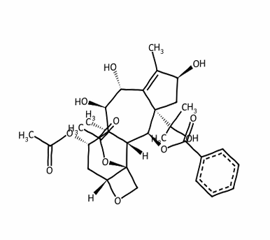 CC(=O)O[C@H]1C[C@H]2OC[C@@]2(OC(C)=O)[C@H]2[C@H](OC(=O)c3ccccc3)[C@]3(C(C)(C)O)C[C@H](O)C(C)=C3[C@@H](O)[C@H](O)[C@]12C